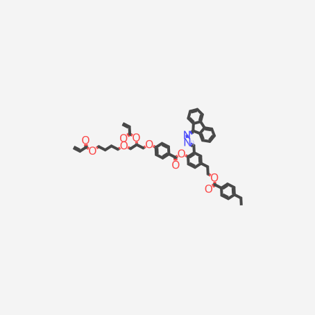 C=CC(=O)OCCCCOCC(COc1ccc(C(=O)Oc2ccc(CCOC(=O)c3ccc(CC)cc3)cc2/C=N/N=C2c3ccccc3-c3ccccc32)cc1)OC(=O)C=C